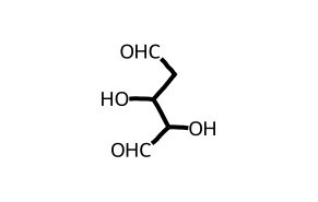 O=CCC(O)C(O)C=O